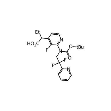 CCC(C(=O)O)c1ccnc(N(CC(F)(F)c2ccccn2)C(=O)OC(C)(C)C)c1F